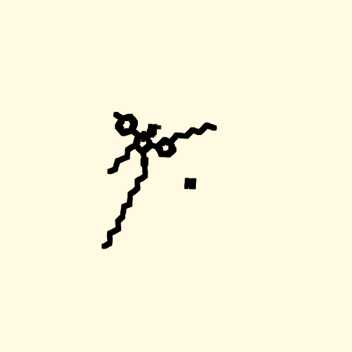 CCCCCCCCCCCCC#CC1=C(c2cccc(CCCCCC)c2)[N+](=[N-])C(c2ccc(C)cc2)=C1CCCCC.[Ni]